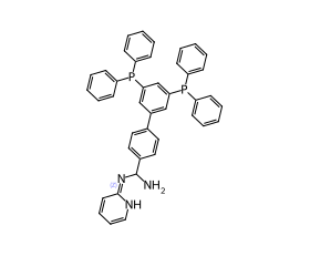 NC(/N=c1/cccc[nH]1)c1ccc(-c2cc(P(c3ccccc3)c3ccccc3)cc(P(c3ccccc3)c3ccccc3)c2)cc1